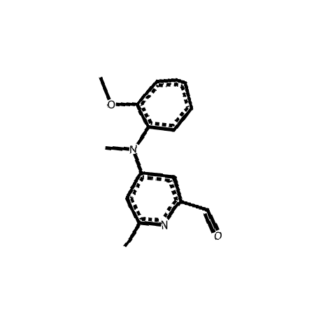 COc1ccccc1N(C)c1cc(C)nc(C=O)c1